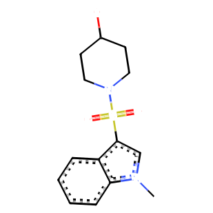 Cn1cc(S(=O)(=O)N2CCC(O)CC2)c2ccccc21